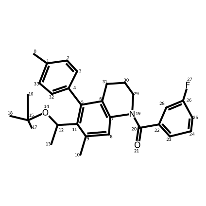 Cc1ccc(-c2c3c(cc(C)c2C(C)OC(C)(C)C)N(C(=O)c2cccc(F)c2)CCC3)cc1